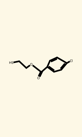 O=C(OCCS)c1ccc(Cl)cc1